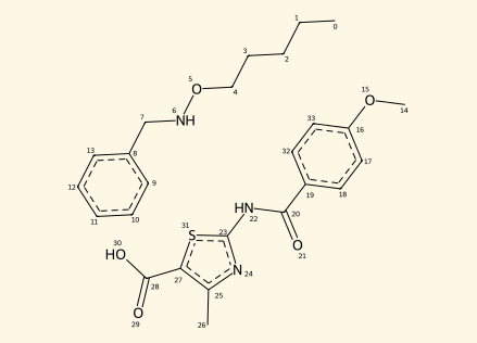 CCCCCONCc1ccccc1.COc1ccc(C(=O)Nc2nc(C)c(C(=O)O)s2)cc1